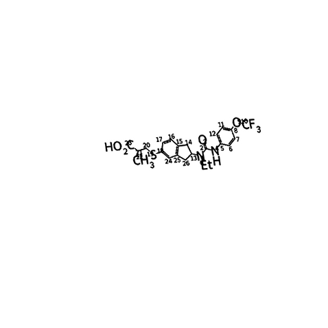 CCN(C(=O)Nc1ccc(OC(F)(F)F)cc1)C1Cc2ccc(SCC(C)C(=O)O)cc2C1